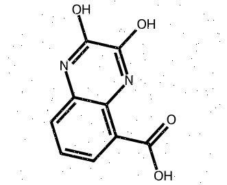 O=C(O)c1cccc2nc(O)c(O)nc12